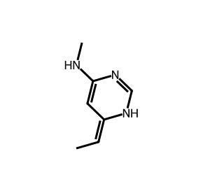 CC=C1C=C(NC)N=CN1